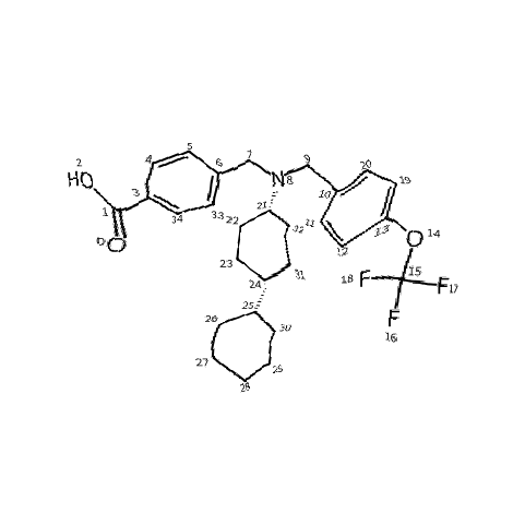 O=C(O)c1ccc(CN(Cc2ccc(OC(F)(F)F)cc2)[C@H]2CC[C@@H](C3CCCCC3)CC2)cc1